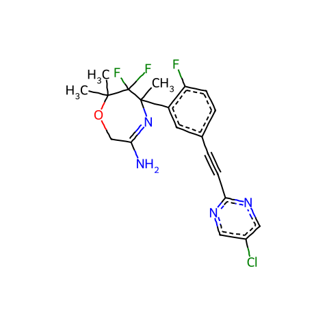 CC1(C)OCC(N)=NC(C)(c2cc(C#Cc3ncc(Cl)cn3)ccc2F)C1(F)F